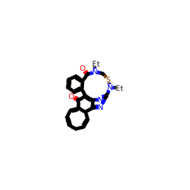 CCN1CSN(CC)C2=NC3=C(C(=O)/C4=C/C=C\C/C=C\C4C3=N2)c2ccccc2C1=O